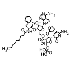 CCCC/C=C/CCC(=O)N[C@@H](Cc1cccnc1)C(=O)O[C@H]1[C@@H](O)[C@H](n2cnc3c(N)ncnc32)O[C@@H]1COP(=O)(O)[C@H]1[C@@H](OC2CCCO2)[C@H](n2ccc(N)nc2=O)O[C@@H]1COP(=O)(O)O